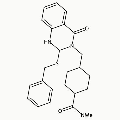 CNC(=O)C1CCC(CN2C(=O)c3ccccc3NC2SCc2ccccc2)CC1